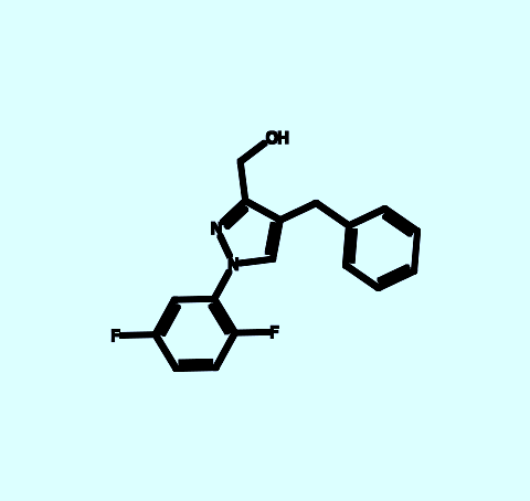 OCc1nn(-c2cc(F)ccc2F)cc1Cc1ccccc1